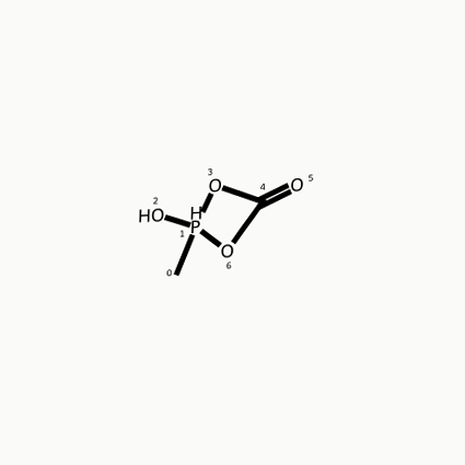 C[PH]1(O)OC(=O)O1